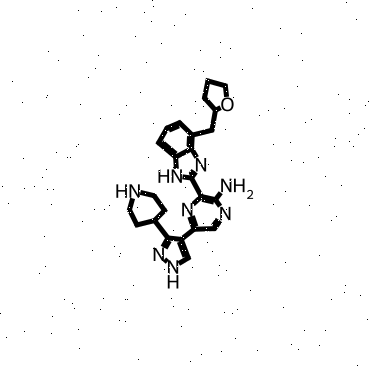 Nc1ncc(-c2c[nH]nc2C2CCNCC2)nc1-c1nc2c(CC3CCCO3)cccc2[nH]1